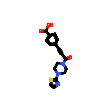 O=C(O)c1ccc(C#CC(=O)N2CCN(c3nccs3)CC2)cc1